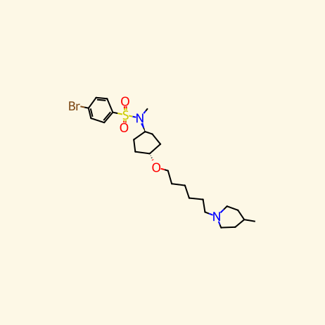 CC1CCN(CCCCCCO[C@H]2CC[C@H](N(C)S(=O)(=O)c3ccc(Br)cc3)CC2)CC1